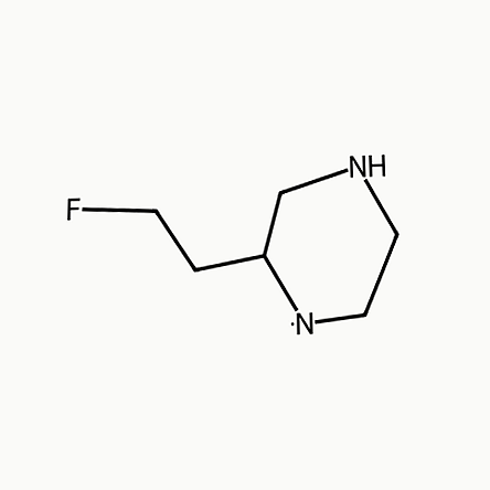 FCCC1CNCC[N]1